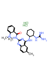 Cc1ccc2nc(NC(=O)c3ccccc3N(C)C)nc(N[C@H]3CCCC[C@H]3NC(=N)N)c2c1.Cl.Cl